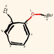 CCCCOc1cc[c]cc1CC